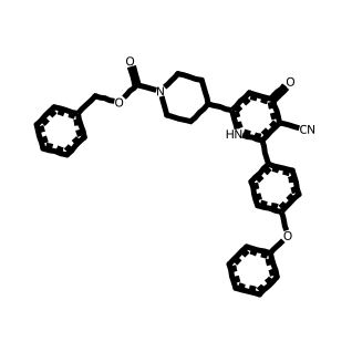 N#Cc1c(-c2ccc(Oc3ccccc3)cc2)[nH]c(C2CCN(C(=O)OCc3ccccc3)CC2)cc1=O